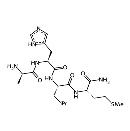 CSCC[C@H](NC(=O)[C@H](CC(C)C)NC(=O)[C@H](Cc1cnc[nH]1)NC(=O)[C@@H](C)N)C(N)=O